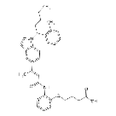 CCCCC(c1ccccc1C)n1ccc2cc(C(C)=CC(=O)Nc3ccccc3OCCCC(=O)O)ccc21